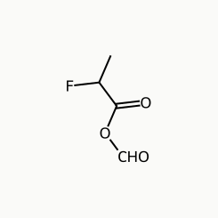 CC(F)C(=O)OC=O